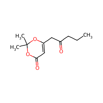 CCCC(=O)CC1=CC(=O)OC(C)(C)O1